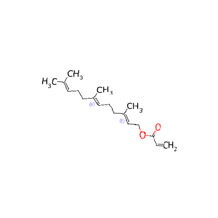 C=CC(=O)OC/C=C(\C)CC/C=C(\C)CCC=C(C)C